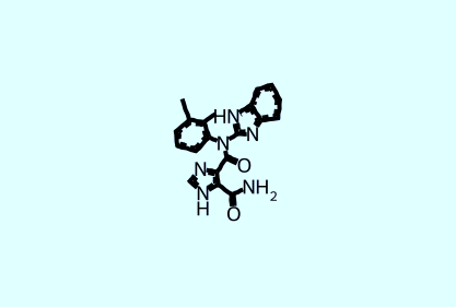 Cc1cccc(N(C(=O)c2nc[nH]c2C(N)=O)c2nc3ccccc3[nH]2)c1C